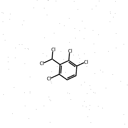 Clc1ccc(Cl)c(C(Cl)Cl)c1Cl